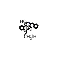 CCCCc1ncc(/C(=C\C(=O)O)Cc2ccccc2)n1Cc1ccccc1Cl.Cl